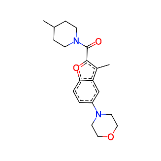 Cc1c(C(=O)N2CCC(C)CC2)oc2ccc(N3CCOCC3)cc12